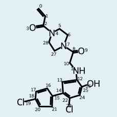 C=CC(=O)N1CCN(C(=O)CNc2cc(-c3ccc(Cl)cc3)c(Cl)cc2O)CC1